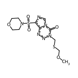 COCSCn1nnc2c(S(=O)(=O)N3CCOCC3)ncn2c1=O